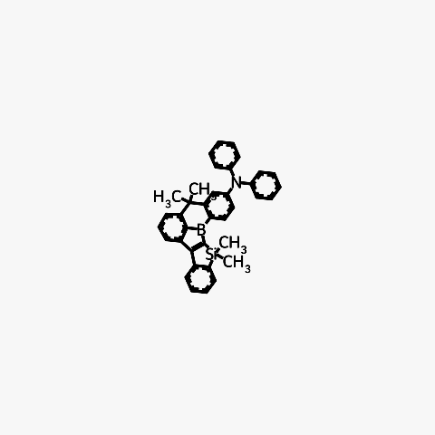 CC1(C)c2cc(N(c3ccccc3)c3ccccc3)ccc2B2C3=C(c4ccccc4[Si]3(C)C)c3cccc1c32